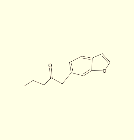 CCCC(=O)Cc1ccc2ccoc2c1